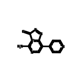 Nc1ncc(-c2ccncc2)c2[n+]1C(=O)N=N2